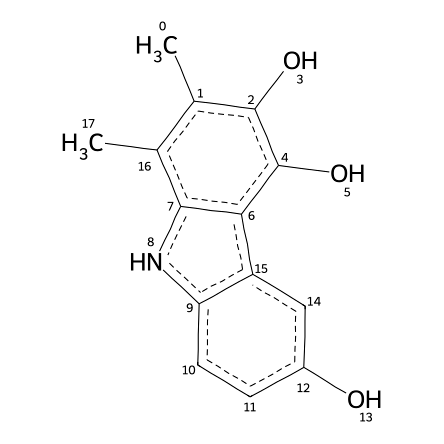 Cc1c(O)c(O)c2c([nH]c3ccc(O)cc32)c1C